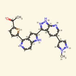 CC(=O)c1ccc(-c2nccc3[nH]c(-c4n[nH]c5ncc(-c6cnn(C)c6)cc45)cc23)s1